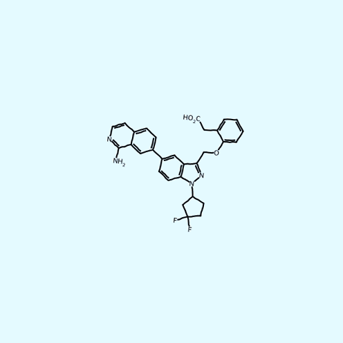 Nc1nccc2ccc(-c3ccc4c(c3)c(COc3ccccc3CC(=O)O)nn4C3CCC(F)(F)C3)cc12